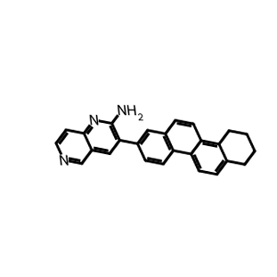 Nc1nc2ccncc2cc1-c1ccc2c(ccc3c4c(ccc32)CCCC4)c1